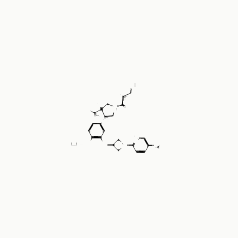 CCOc1ccc(N2CC(Oc3cc([C@@H]4CN(C(=O)[C@@H](O)CO)C[C@@]4(C)[C@@H](C)O)ccc3OC)C2)nc1